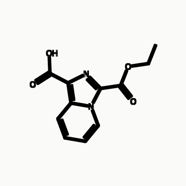 CCOC(=O)c1nc(C(=O)O)c2ccccn12